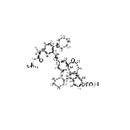 CN(C)CC(=O)N(C)c1ccc(N2CCOCC2)c(COc2ccc3c(c2)OCCn2c-3c(C3CCCCC3)c3ccc(C(=O)O)cc32)c1